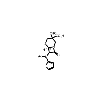 CC(=O)N(c1cccs1)C1C(=O)N2CC(C=O)(C(=O)O)CS[C@H]12